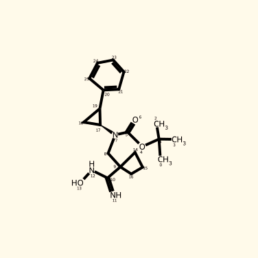 CC(C)(C)OC(=O)N(CC1(C(=N)NO)CCC1)[C@H]1CC1c1ccccc1